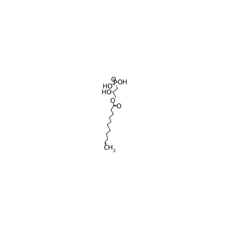 C=CCCCCCCCCC(=O)OCC(O)CP(=O)(O)O